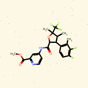 COC(=O)c1cc(NC(=O)C2OC(C)(C(F)(F)F)C(C)C2c2ccc(F)c(F)c2C)ccn1